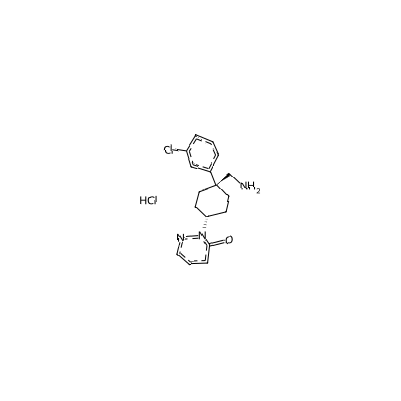 Cl.NC[C@]1(c2cccc(Cl)c2)CC[C@@H](n2ncccc2=O)CC1